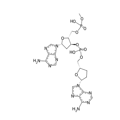 COP(=O)(O)OC[C@H]1O[C@@H](n2cnc3c(N)ncnc32)C[C@@H]1OP(=O)(O)OC[C@@H]1CC[C@H](n2cnc3c(N)ncnc32)O1